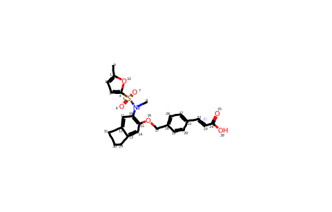 Cc1ccc(S(=O)(=O)N(C)c2cc3c(cc2OCc2ccc(/C=C/C(=O)O)cc2)CCC3)o1